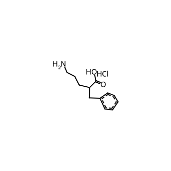 Cl.NCCCC(Cc1ccccc1)C(=O)O